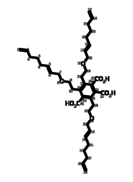 C=CCCCC=CCOCCc1c(CCOCC=CCCCC=C)c(C(=O)O)c(C(=O)O)c(CCOCC=CCCCC=C)c1C(=O)O